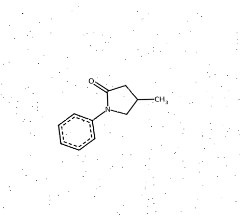 CC1CC(=O)N(c2ccccc2)C1